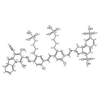 Cc1c(N=Nc2cc(Cl)c(N=Nc3cc(Cl)c(N=Nc4nc5c(S(=O)(=O)O)cc6ccc(S(=O)(=O)O)cc6c5s4)cc3SCCCS(=O)(=O)O)cc2OCCCS(=O)(=O)O)c(O)n2c(nc3ccccc32)c1C#N